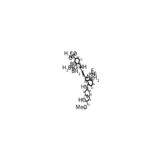 BC(B)(B)Oc1cc(S(C)(=O)=O)ccc1NCC#Cc1cc2c(NC3CCN(CC(O)COC)CC3)cccc2n1CC(F)(F)P